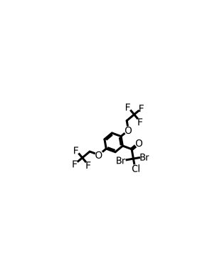 O=C(c1cc(OCC(F)(F)F)ccc1OCC(F)(F)F)C(Cl)(Br)Br